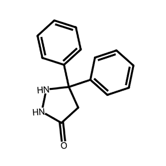 O=C1CC(c2ccccc2)(c2ccccc2)NN1